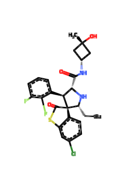 CC(C)(C)C[C@H]1N[C@@H](C(=O)N[C@H]2C[C@@](C)(O)C2)[C@H](c2cccc(F)c2F)[C@@]12C(=O)Sc1cc(Cl)ccc12